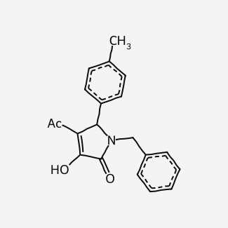 CC(=O)C1=C(O)C(=O)N(Cc2ccccc2)C1c1ccc(C)cc1